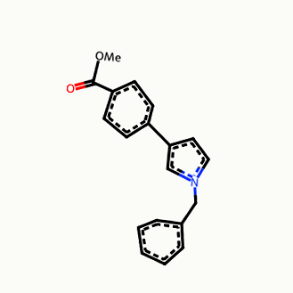 COC(=O)c1ccc(-c2ccn(Cc3ccccc3)c2)cc1